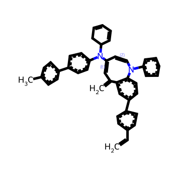 C=Cc1ccc(-c2ccc3c(c2)C(=C)/C=C(N(c2ccc(-c4ccc(C)cc4)cc2)C2C=CC=CC2)\C=C/N3c2ccccc2)cc1